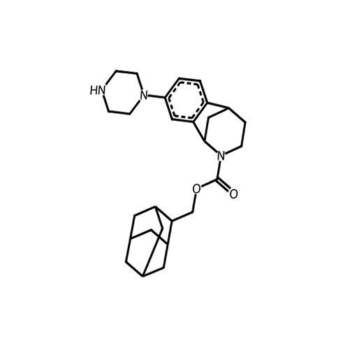 O=C(OCC1C2CC3CC(C2)CC1C3)N1CCC2CC1c1cc(N3CCNCC3)ccc12